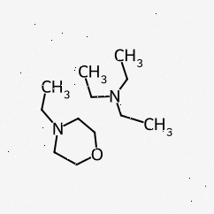 CCN(CC)CC.CCN1CCOCC1